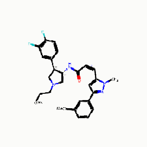 COCCN1C[C@@H](NC(=O)/C=C\c2cc(-c3cccc(OC)c3)nn2C)[C@H](c2ccc(F)c(F)c2)C1